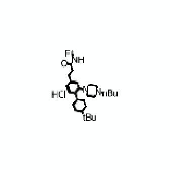 CCCCN1CCN(c2cc(CCC(=O)NCC)ccc2C2CCC(C(C)(C)C)CC2)CC1.Cl